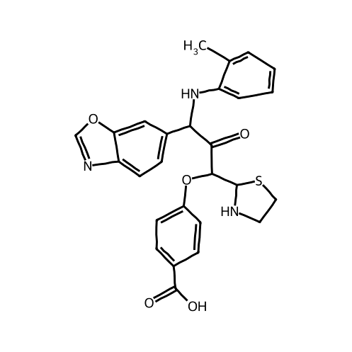 Cc1ccccc1NC(C(=O)C(Oc1ccc(C(=O)O)cc1)C1NCCS1)c1ccc2ncoc2c1